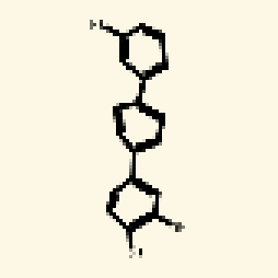 Sc1cccc(-c2ccc(-c3ccc(S)c(S)c3)cc2)c1